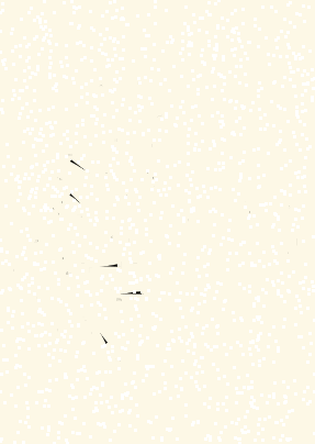 COC(=O)[C@@H]1[C@H]2C[C@@H]3N(CC[C@@]34C(=O)N(c3ccc(OC)cc3)c3ccccc34)C[C@@H]2CC[C@@H]1O